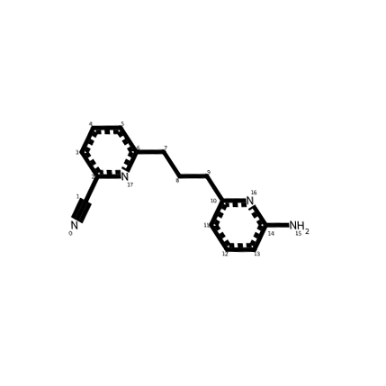 N#Cc1cccc(CCCc2cccc(N)n2)n1